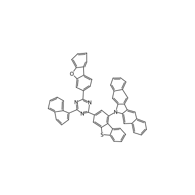 c1ccc2cc3c(cc2c1)c1cc2ccccc2cc1n3-c1cc(-c2nc(-c3ccc4c(c3)oc3ccccc34)nc(-c3cccc4ccccc34)n2)cc2sc3ccccc3c12